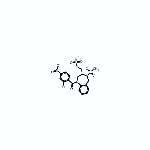 CS(=O)(=O)OC[C@@H]1CN(C(=O)c2ccc([N+](=O)[O-])cc2Cl)c2ccccc2CN1S(C)(=O)=O